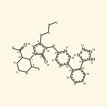 CCCCc1cn(C2C(C)CCCC2C(C)=O)c(=O)n1Cc1ccc(-c2ccccc2-c2nnn[nH]2)cn1